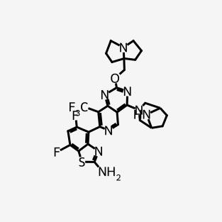 Nc1nc2c(-c3ncc4c(N5CC6CCC(C5)N6)nc(OCC56CCCN5CCC6)nc4c3C(F)(F)F)c(F)cc(F)c2s1